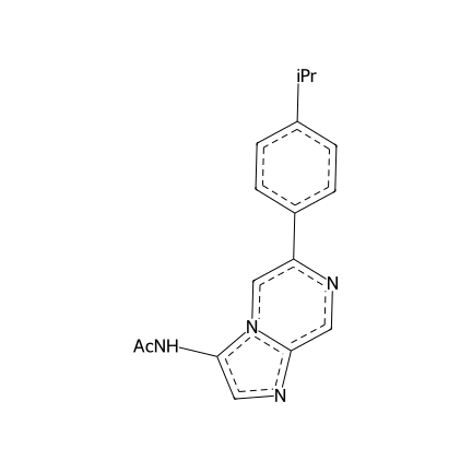 CC(=O)Nc1cnc2cnc(-c3ccc(C(C)C)cc3)cn12